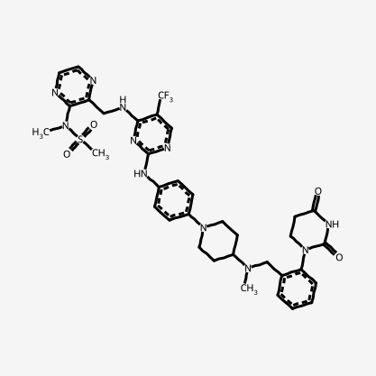 CN(Cc1ccccc1N1CCC(=O)NC1=O)C1CCN(c2ccc(Nc3ncc(C(F)(F)F)c(NCc4nccnc4N(C)S(C)(=O)=O)n3)cc2)CC1